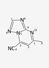 Cc1cc(C#N)n2ncnc2n1